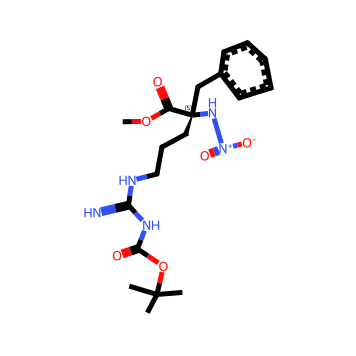 COC(=O)[C@](CCCNC(=N)NC(=O)OC(C)(C)C)(Cc1ccccc1)N[N+](=O)[O-]